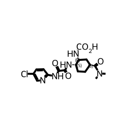 CN(C)C(=O)[C@H]1CC[C@H](NC(=O)C(=O)Nc2ccc(Cl)cn2)[C@H](NC(=O)O)C1